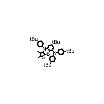 Cc1sc2c(c1C)N(c1ccc(C(C)(C)C)cc1)c1cc(C(C)(C)C)cc3c1B2c1cc(C(C)(C)C)ccc1N3c1ccc(C(C)(C)C)cc1